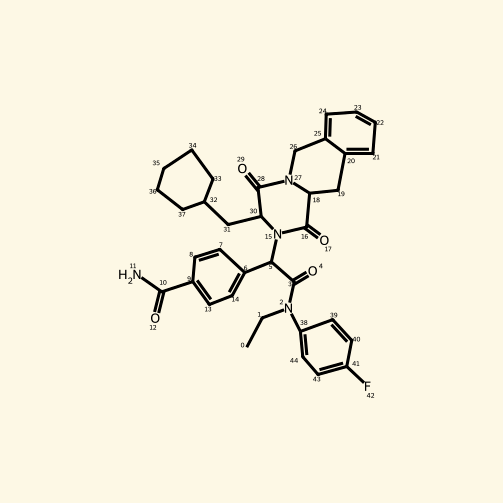 CCN(C(=O)C(c1ccc(C(N)=O)cc1)N1C(=O)C2Cc3ccccc3CN2C(=O)C1CC1CCCCC1)c1ccc(F)cc1